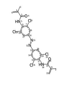 C=C(C)C(=O)Nc1c(Cl)cc(N=Nc2cc(Cl)c(NC(=O)C(=C)C)c(Cl)c2)cc1Cl